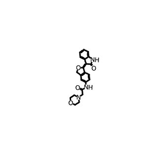 O=C(CN1CCOCC1)Nc1ccc2c(c1)COC2=C1C(=O)Nc2ccccc21